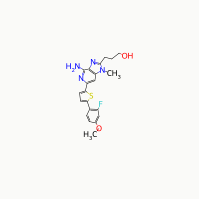 COc1ccc(-c2ccc(-c3cc4c(nc(CCCO)n4C)c(N)n3)s2)c(F)c1